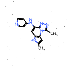 Cc1cc2c(cc(Nc3ccncc3)c3nnc(C)n32)[nH]1